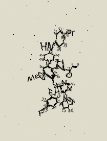 C=CC(=O)Nc1cc(Nc2cc(N3OCC[C@@H]3c3cc(F)cc(F)c3)ncn2)c(OC)cc1N1CCC(NC2CCN(C(C)C)CC2)CC1